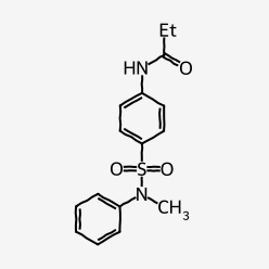 CCC(=O)Nc1ccc(S(=O)(=O)N(C)c2ccccc2)cc1